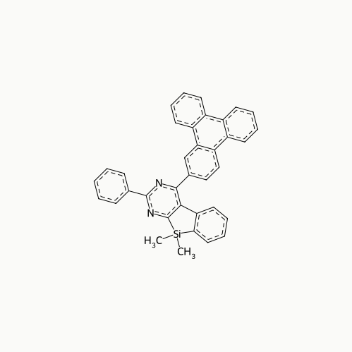 C[Si]1(C)c2ccccc2-c2c(-c3ccc4c5ccccc5c5ccccc5c4c3)nc(-c3ccccc3)nc21